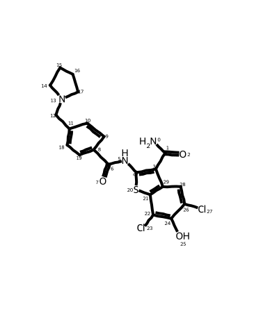 NC(=O)c1c(NC(=O)c2ccc(CN3CCCC3)cc2)sc2c(Cl)c(O)c(Cl)cc12